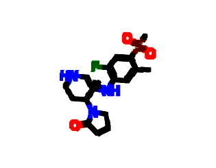 Cc1cc(N[C@@H]2CNCCC2N2CCCC2=O)c(F)cc1S(C)(=O)=O